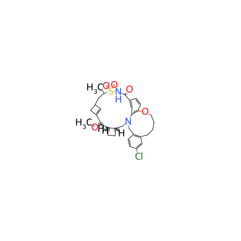 CO[C@H]1C2=CC(C2)CC(C)S(=O)(=O)NC(=O)c2ccc3c(c2)N(Cc2ccc(Cl)cc2CCCCO3)C[C@@H]2CC[C@H]21